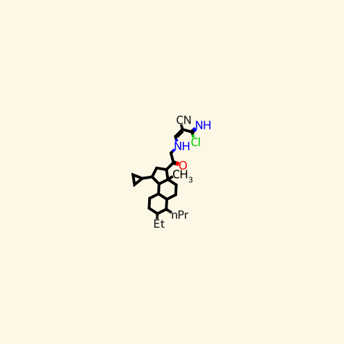 CCCC1C(CC)CCC2C1CCC1(C)C(C(=O)CN/C=C(/C#N)C(=N)Cl)CC(C3CC3)C21